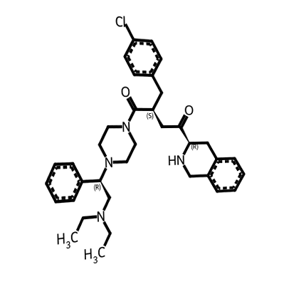 CCN(CC)C[C@@H](c1ccccc1)N1CCN(C(=O)[C@H](CC(=O)[C@H]2Cc3ccccc3CN2)Cc2ccc(Cl)cc2)CC1